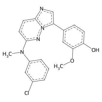 COc1cc(-c2cnc3ccc(N(C)c4cccc(Cl)c4)nn23)ccc1O